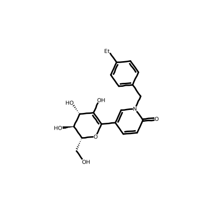 CCc1ccc(Cn2cc(C3=C(O)[C@@H](O)[C@H](O)[C@@H](CO)O3)ccc2=O)cc1